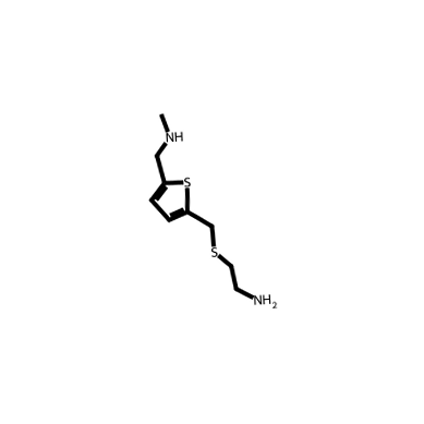 CNCc1ccc(CSCCN)s1